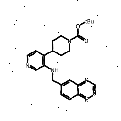 CC(C)(C)OC(=O)N1CCC(c2ccncc2NCc2ccc3nccnc3c2)CC1